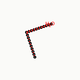 O.c1ccccc1.c1ccccc1.c1ccccc1.c1ccccc1.c1ccccc1.c1ccccc1.c1ccccc1.c1ccccc1.c1ccccc1.c1ccccc1.c1ccccc1.c1ccccc1.c1ccccc1.c1ccccc1.c1ccccc1.c1ccccc1.c1ccccc1.c1ccccc1.c1ccccc1.c1ccccc1